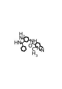 Cc1c(C(=O)Nc2ccc(N)c(C(=N)c3ccccc3)c2)ccc2cncn12